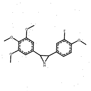 COc1ccc(C2NC2c2cc(OC)c(OC)c(OC)c2)cc1F